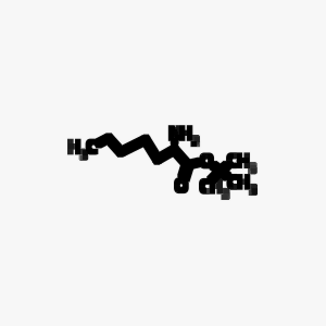 CCCCC[C@@H](N)C(=O)OC(C)(C)C